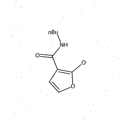 CCCCNC(=O)c1ccoc1[O]